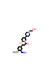 CNc1ccc(C2=CC(=O)N3C=C(C4CCN(CCO)CC4)C=CC3P2)cc1C=N